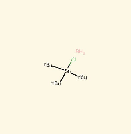 B.CCC[CH2][Sn]([Cl])([CH2]CCC)[CH2]CCC